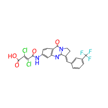 O=C(O)C(Cl)=C(Cl)C(=O)Nc1ccc2c(=O)n3c(nc2c1)C(=Cc1cccc(C(F)(F)F)c1)CC3